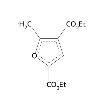 [CH2]c1oc(C(=O)OCC)cc1C(=O)OCC